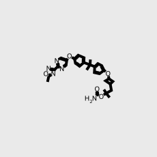 Cc1nc(-c2ncc(Oc3ccc(C(C)(C)c4ccc(OC5CC(CC(C)(C)OC(N)=O)C5)cc4)cc3)cn2)no1